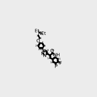 CCN(CC)CCOc1ccc(-n2cc(-c3cc4cc(F)c(F)cc4[nH]c3=O)nn2)cc1